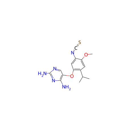 COc1cc(C(C)C)c(Oc2cnc(N)nc2N)cc1N=C=S